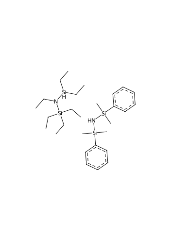 CCN([SiH](CC)CC)[Si](CC)(CC)CC.C[Si](C)(N[Si](C)(C)c1ccccc1)c1ccccc1